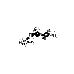 COc1cc(Oc2ncnc3cc(OC)c(OC)cc23)ccc1NC(=O)NCCN(C(C)C)C(C)C